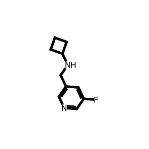 Fc1cncc(CNC2CCC2)c1